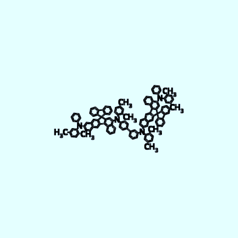 Cc1ccc(N(c2ccc(-c3cccc(N(c4ccc5cc6c(cc5c4)C4(c5ccccc5-c5ccccc54)c4cc(N(c5ccccc5)c5cc(C)ccc5C)c5ccccc5c4-6)c4cc(C)ccc4C)c3)cc2)c2cc3c(c4ccccc24)-c2cc4ccc(N(c5ccccc5)c5cc(C)ccc5C)cc4cc2C32c3ccccc3-c3ccccc32)c(C)c1